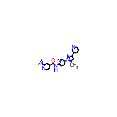 CN(C)c1cc(C(=O)Nc2ccc(-n3nc(-c4cccnc4)cc3C(F)(F)F)cn2)ccn1